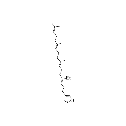 CC/C(=C\CCc1ccoc1)CC/C=C(\C)CC/C=C(\C)CCC=C(C)C